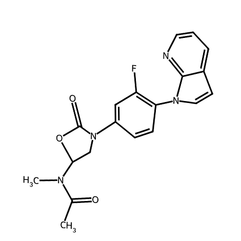 CC(=O)N(C)C1CN(c2ccc(-n3ccc4cccnc43)c(F)c2)C(=O)O1